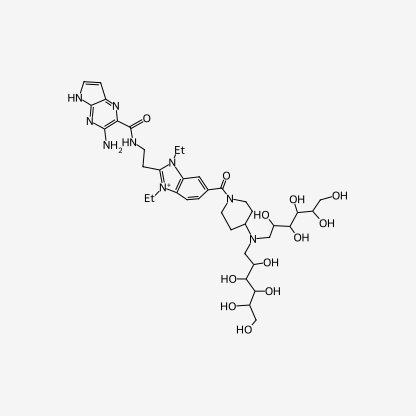 CCn1c(CCNC(=O)c2nc3cc[nH]c3nc2N)[n+](CC)c2ccc(C(=O)N3CCC(N(CC(O)C(O)C(O)C(O)CO)CC(O)C(O)C(O)C(O)CO)CC3)cc21